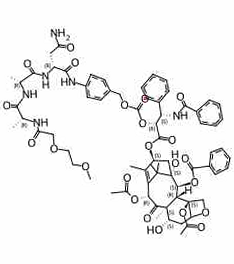 COCCOCC(=O)N[C@H](C)C(=O)N[C@H](C)C(=O)N[C@H](CC(N)=O)C(=O)Nc1ccc(COC(=O)O[C@@H](C(=O)O[C@H]2C[C@@]3(O)[C@@H](OC(=O)c4ccccc4)[C@H]4[C@](C)(C(=O)[C@H](OC(C)=O)C(=C2C)C3(C)C)[C@@H](O)CC2OC[C@]24OC(C)=O)[C@@H](NC(=O)c2ccccc2)c2ccccc2)cc1